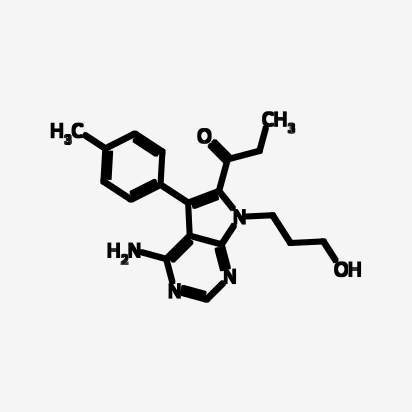 CCC(=O)c1c(-c2ccc(C)cc2)c2c(N)ncnc2n1CCCO